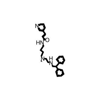 CN(CCCCNC(=O)C=Cc1cccnc1)CCNCC(c1ccccc1)c1ccccc1